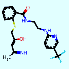 CC(=N)/C=C(\O)CSc1ccccc1C(=O)NCCNc1ccc(C(F)(F)F)cn1